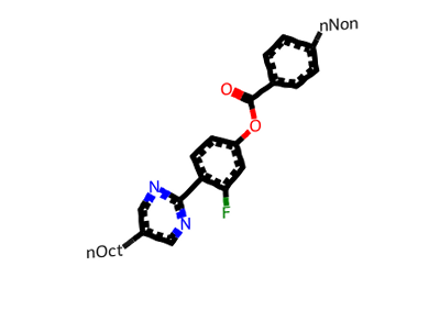 CCCCCCCCCc1ccc(C(=O)Oc2ccc(-c3ncc(CCCCCCCC)cn3)c(F)c2)cc1